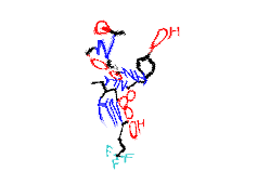 CCC(C)C(NC(=O)C(Cc1ccc(O)cc1)NC(=O)[C@H]1CN(C(C)=O)CCO1)C(=O)NC(CCC(F)(F)F)C(=O)O